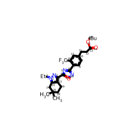 CCn1nc(-c2nc(-c3ccc(CCC(=O)OC(C)(C)C)cc3C(F)(F)F)no2)c2c1CC(C)(C)CC2